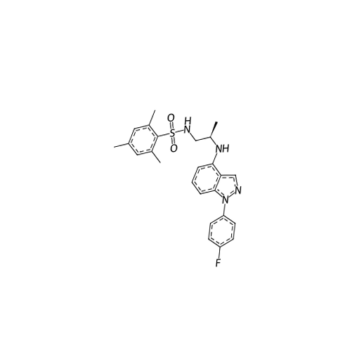 Cc1cc(C)c(S(=O)(=O)NC[C@@H](C)Nc2cccc3c2cnn3-c2ccc(F)cc2)c(C)c1